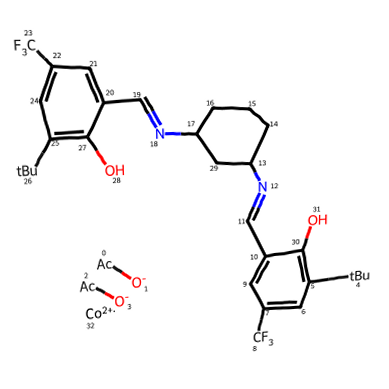 CC(=O)[O-].CC(=O)[O-].CC(C)(C)c1cc(C(F)(F)F)cc(C=NC2CCCC(N=Cc3cc(C(F)(F)F)cc(C(C)(C)C)c3O)C2)c1O.[Co+2]